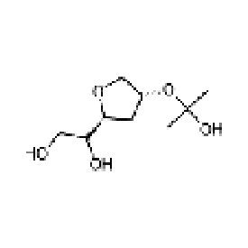 CC(C)(O)O[C@H]1CO[C@H](C(O)CO)C1